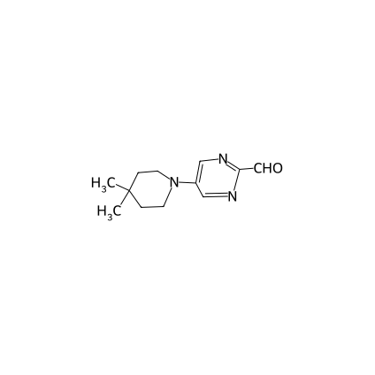 CC1(C)CCN(c2cnc(C=O)nc2)CC1